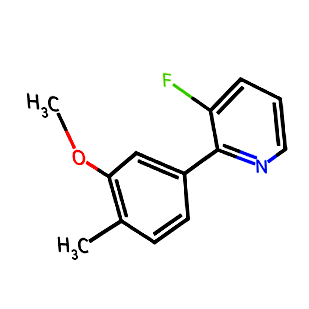 COc1cc(-c2ncccc2F)ccc1C